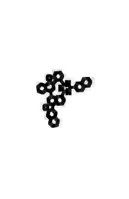 c1ccc(-c2nc(-c3ccc4ccccc4c3)nc(-c3cccc4oc5c6ccccc6c(-c6ccc7c(c6)oc6cc8ccccc8cc67)cc5c34)n2)cc1